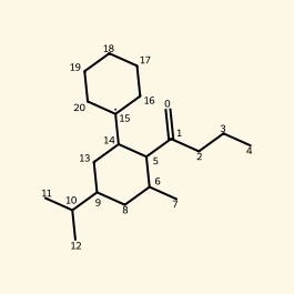 C=C(CCC)C1C(C)CC(C(C)C)CC1[C]1CCCCC1